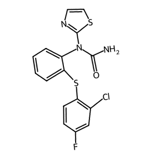 NC(=O)N(c1nccs1)c1ccccc1Sc1ccc(F)cc1Cl